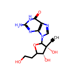 C#C[C@]1(O)C(n2cnc3c(=O)[nH]c(N)nc32)OC(CCO)[C@H]1O